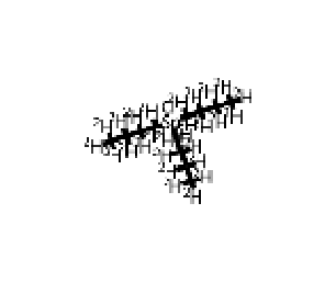 [2H]C([2H])([2H])C([2H])([2H])C([2H])([2H])[C]([2H])([2H])[Sn]([Cl])([C]([2H])([2H])C([2H])([2H])C([2H])([2H])C([2H])([2H])[2H])[C]([2H])([2H])C([2H])([2H])C([2H])([2H])C([2H])([2H])[2H]